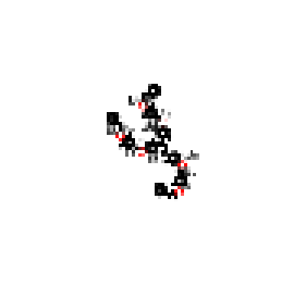 CCC(CC)(Cc1ccccc1)Oc1c(C)cc(C(CC)(CC)Oc2cc(C)c(C(CC(C)c3cc(C(C)(C)C)c(OC(C)(CC)c4cc(C)c(OC(C)(C)Cc5ccccc5)c(C)c4)cc3C)c3cc(C(C)(C)C)c(OC(CC)(CC)c4cc(C)c(OC(CC)(CC)Cc5ccccc5)c(C)c4)cc3C)cc2C(C)(C)C)cc1C